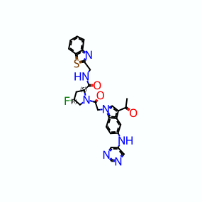 CC(=O)c1cn(CC(=O)N2C[C@H](F)C[C@H]2C(=O)NCc2nc3ccccc3s2)c2ccc(Nc3cncnc3)cc12